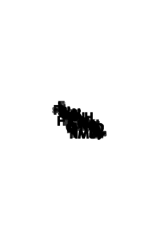 CNC1CCC(Nc2cc(Nc3ccnc(-c4cnn(S(=O)(=O)C5CC5)c4)n3)ncc2-c2ccn(C(F)F)n2)CC1